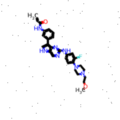 C=CC(=O)Nc1cccc(-c2c[nH]c3cnc(Nc4ccc(N5CCN(CCOC)CC5)c(F)c4)nc23)c1